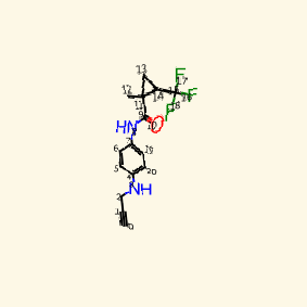 C#CCNc1ccc(NC(=O)C2(C)CC2C(F)(F)F)cc1